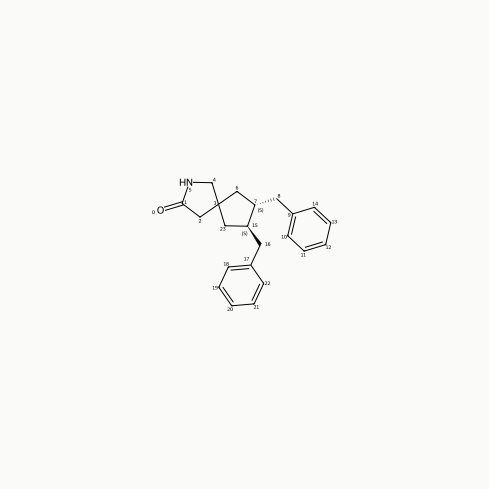 O=C1CC2(CN1)C[C@H](Cc1ccccc1)[C@@H](Cc1ccccc1)C2